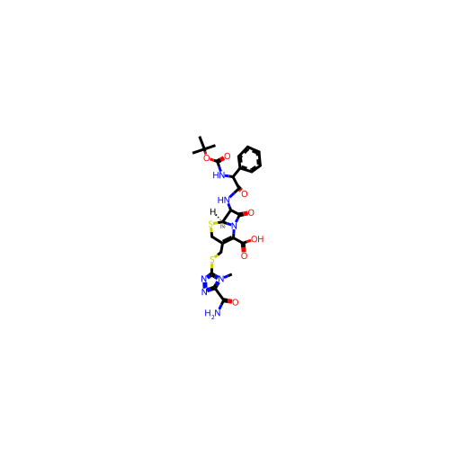 Cn1c(SCC2=C(C(=O)O)N3C(=O)C(NC(=O)C(NC(=O)OC(C)(C)C)c4ccccc4)[C@@H]3SC2)nnc1C(N)=O